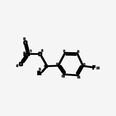 O=[SH](=O)O[C](Br)c1ccc(F)cc1